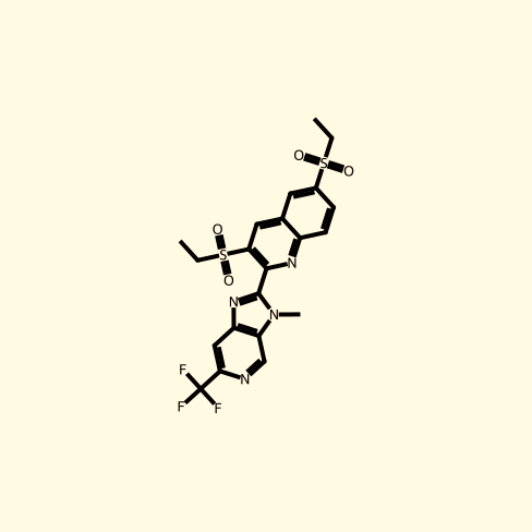 CCS(=O)(=O)c1ccc2nc(-c3nc4cc(C(F)(F)F)ncc4n3C)c(S(=O)(=O)CC)cc2c1